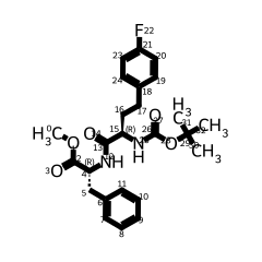 COC(=O)[C@@H](Cc1ccccc1)NC(=O)[C@@H](CCc1ccc(F)cc1)NC(=O)OC(C)(C)C